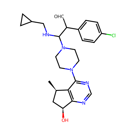 C[C@@H]1C[C@H](O)c2ncnc(N3CCN(C(NCC4CC4)C(C=O)c4ccc(Cl)cc4)CC3)c21